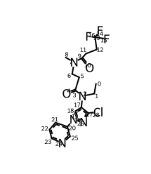 CCN(C(=O)CCN(C)C(=O)CCC(F)(F)F)c1cn(-c2cccnc2)nc1Cl